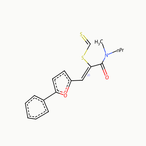 CCCN(C)C(=O)/C(=C/c1ccc(-c2ccccc2)o1)SC=S